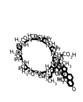 CC=CC[C@@H](C)C(C(OC(=O)COCC(=O)O)C(=O)[C@@]1(O)[C@H](C)CC2C3CCC4=CC(=O)C=C[C@]4(C)[C@@]3(F)[C@@H](O)C[C@@]21C)C1C(=O)NC(CC)C(=O)N(C)CC(=O)N(C)C(CC(C)C)C(=O)NC(C(C)C)C(=O)N(C)C(CC(C)C)C(=O)NC(C)C(=O)NC(C)C(=O)N(C)C(CC(C)C)C(=O)N(C)C(CC(C)C)C(=O)N(C)C(C(C)C)C(=O)N1C